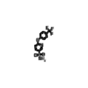 NS(=O)(=O)c1ccc(Oc2ccc(C(F)(F)F)cc2)nc1